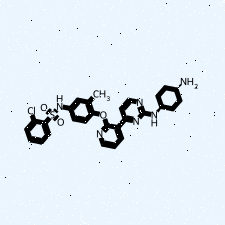 Cc1cc(NS(=O)(=O)c2ccccc2Cl)ccc1Oc1ncccc1-c1ccnc(N[C@H]2CC[C@H](N)CC2)n1